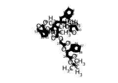 CC1C2CCC(C2)C1CC(C)(CC(C)(CC(C)(C)C(=O)OCC(=O)OC(CC(=O)OC(C)(C)C)C1CC2C=CC1C2)C(=O)OC1C2CC3C(=O)OC1C3C2)C(=O)OC1(C)CCOC1